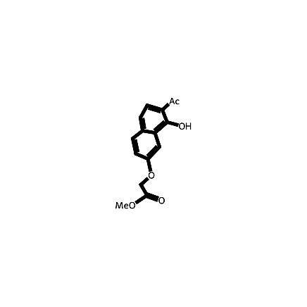 COC(=O)COc1ccc2ccc(C(C)=O)c(O)c2c1